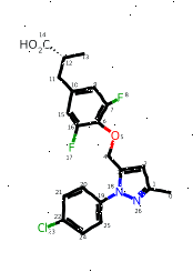 Cc1cc(COc2c(F)cc(C[C@@H](C)C(=O)O)cc2F)n(-c2ccc(Cl)cc2)n1